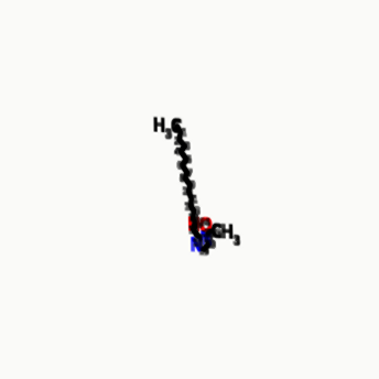 CCCCCCCCCCCCCCC/C=C/C1=NCCN1C(C)O